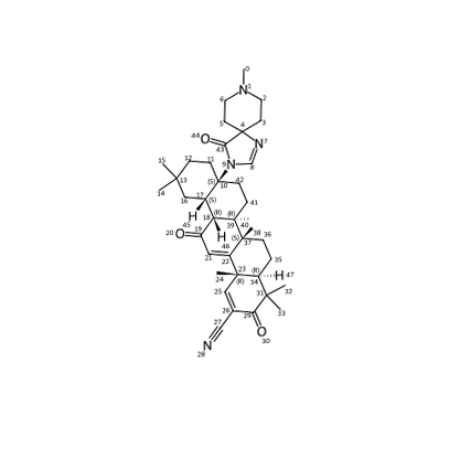 CN1CCC2(CC1)N=CN([C@]13CCC(C)(C)C[C@H]1[C@H]1C(=O)C=C4[C@@]5(C)C=C(C#N)C(=O)C(C)(C)[C@@H]5CC[C@@]4(C)[C@]1(C)CC3)C2=O